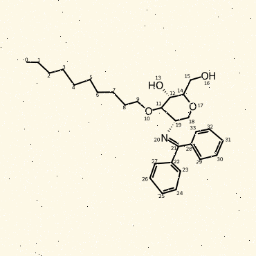 CCCCCCCCCCOC1[C@H](O)C(CO)OC[C@@H]1N=C(c1ccccc1)c1ccccc1